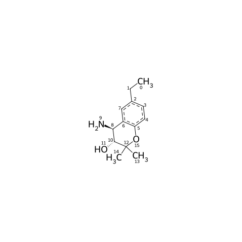 CCc1ccc2c(c1)[C@H](N)[C@@H](O)C(C)(C)O2